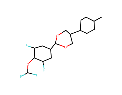 CC1CCC(C2COC(C3CC(F)C(OC(F)F)C(F)C3)OC2)CC1